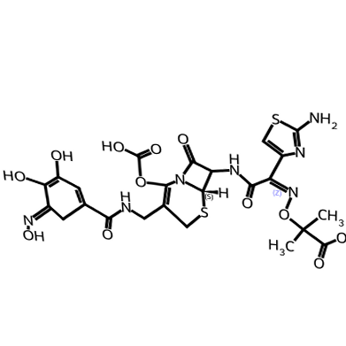 CC(C)(O/N=C(\C(=O)NC1C(=O)N2C(OC(=O)O)=C(CNC(=O)C3=CC(O)=C(O)C(=NO)C3)CS[C@@H]12)c1csc(N)n1)C(=O)O